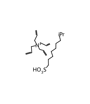 C=CC[N+](CC=C)(CC=C)CC=C.CC(C)CCCCCCCS(=O)(=O)O